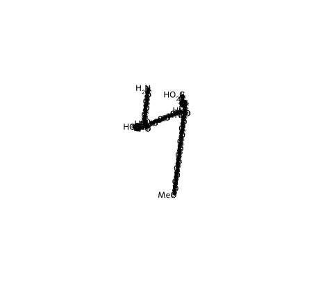 COCCOCCOCCOCCOCCOCCOCCOCCOCCOCCOCCOCCNC(=O)C(Cc1ccc(OCC(=O)O)cc1)NC(=O)CCOCCOCCOCCOCCNC(=O)C(Cc1ccc(O)cc1)NC(=O)CCOCCOCCOCCOCCN